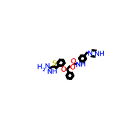 N=C(N)c1cc2c(OC(COC(=O)Nc3ccc(CN4CCNCC4)cc3)c3ccccc3)cccc2s1